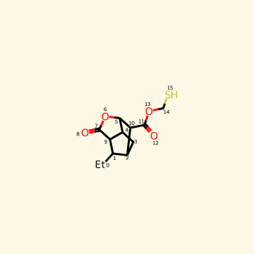 CCC1C2CC3C(OC(=O)C13)C2C(=O)OCS